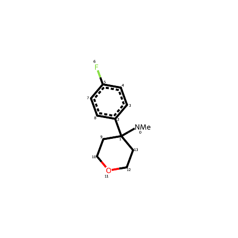 CNC1(c2ccc(F)cc2)CCOCC1